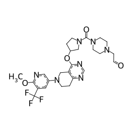 COc1ncc(N2CCc3ncnc(OC4CCN(C(=O)N5CCN(CC=O)CC5)C4)c3C2)cc1C(F)(F)F